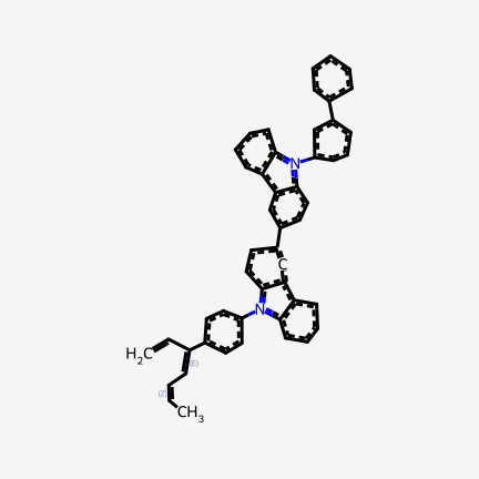 C=C/C(=C\C=C/C)c1ccc(-n2c3ccccc3c3cc(-c4ccc5c(c4)c4ccccc4n5-c4cccc(-c5ccccc5)c4)ccc32)cc1